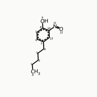 CCCCCc1ccc(O)c(N=O)c1